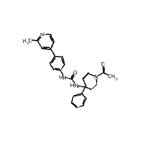 CC(=O)N1CCC(NC(=O)Nc2ccc(-c3ccnc(C)c3)cc2)(c2ccccc2)CC1